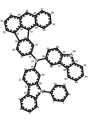 c1ccc(-n2c3ccccc3c3ccc(N(c4ccc5c(c4)-c4c6ccccc6cc6cccc-5c46)c4ccc5sc6ccccc6c5c4)cc32)cc1